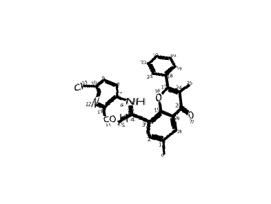 Cc1cc(C(C)Nc2ccc(Cl)nc2C(=O)O)c2oc(-c3ccccc3)c(C)c(=O)c2c1